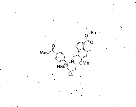 CNc1cc(C(=O)OC)ccc1[C@@H]1CC2(CCN1Cc1c(OC)cc(C)c3c1ccn3C(=O)OC(C)(C)C)CC2